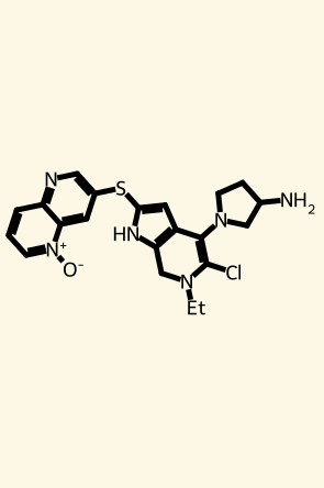 CCN1Cc2[nH]c(Sc3cnc4ccc[n+]([O-])c4c3)cc2C(N2CCC(N)C2)=C1Cl